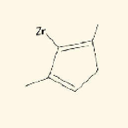 CC1=CCC(C)=[C]1[Zr]